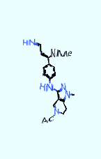 CN/C(=C\C=N)c1ccc(Nc2nn(C)c3c2CN(C(C)=O)CC3)cc1